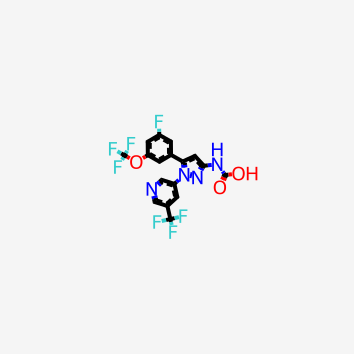 O=C(O)Nc1cc(-c2cc(F)cc(OC(F)(F)F)c2)n(-c2cncc(C(F)(F)F)c2)n1